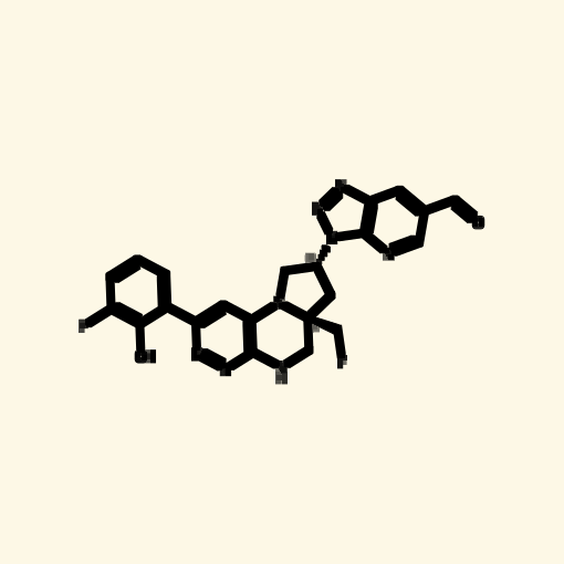 O=Cc1cnc2c(c1)nnn2[C@H]1CN2c3cc(-c4cccc(F)c4O)nnc3NC[C@@]2(CF)C1